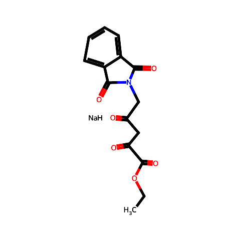 CCOC(=O)C(=O)CC(=O)CN1C(=O)c2ccccc2C1=O.[NaH]